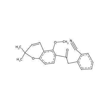 COc1c(C(=O)Cc2ccccc2C#N)ccc2c1C=CC(C)(C)O2